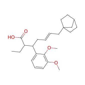 CCC(C(=O)O)C(CC=CCC12CCC(CC1)C2)c1cccc(OC)c1OC